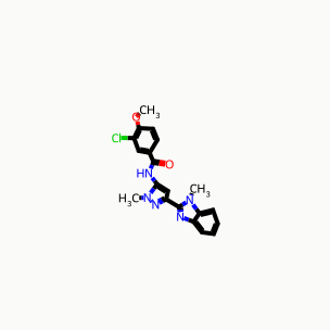 COc1ccc(C(=O)Nc2cc(-c3nc4ccccc4n3C)nn2C)cc1Cl